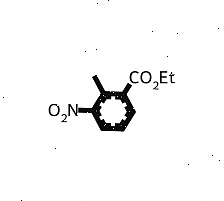 CCOC(=O)c1cccc([N+](=O)[O-])c1C